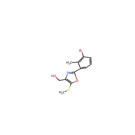 CSc1oc(-c2cccc(Br)c2C)nc1CO